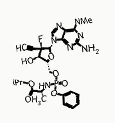 C#C[C@@]1(F)[C@H](O)[C@@H](COP(=O)(N[C@H](C)C(=O)OC(C)C)Oc2ccccc2)O[C@H]1n1cnc2c(NC)nc(N)nc21